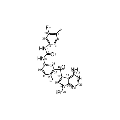 Cc1ccc(NC(=O)Nc2ccc(C)c(C(=O)c3cn(C(C)C)c4ncnc(N)c34)c2)cc1F